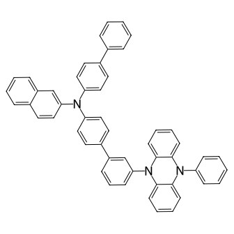 c1ccc(-c2ccc(N(c3ccc(-c4cccc(N5c6ccccc6N(c6ccccc6)c6ccccc65)c4)cc3)c3ccc4ccccc4c3)cc2)cc1